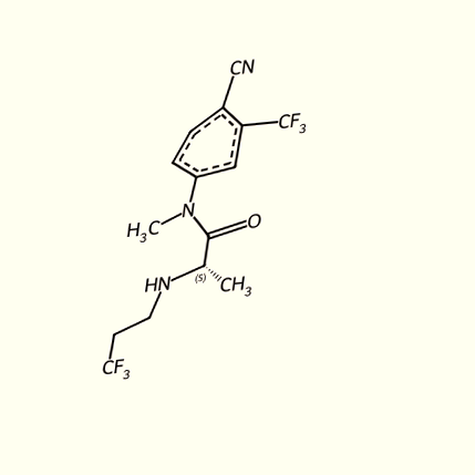 C[C@H](NCCC(F)(F)F)C(=O)N(C)c1ccc(C#N)c(C(F)(F)F)c1